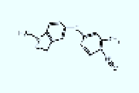 [C-]#[N+]c1cnc(Oc2ccc3c(c2)COB3C)cc1C